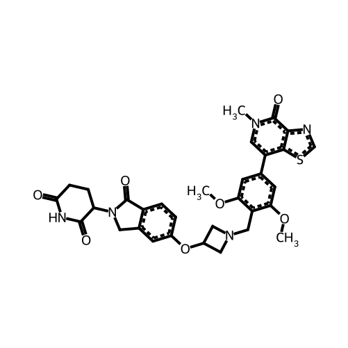 COc1cc(-c2cn(C)c(=O)c3ncsc23)cc(OC)c1CN1CC(Oc2ccc3c(c2)CN(C2CCC(=O)NC2=O)C3=O)C1